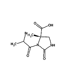 CC(Br)C(=O)N1C(=O)NC[C@@]1(C)C(=O)O